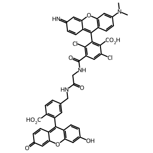 CN(C)c1ccc2c(-c3c(Cl)c(C(=O)NCC(=O)NCc4ccc(C(=O)O)c(-c5c6ccc(=O)cc-6oc6cc(O)ccc56)c4)cc(Cl)c3C(=O)O)c3ccc(=N)cc-3oc2c1